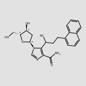 N#CC(CCc1cccc2ccccc12)c1c(C(N)=O)ncn1[C@@H]1C[C@H](O)[C@@H](CO)O1